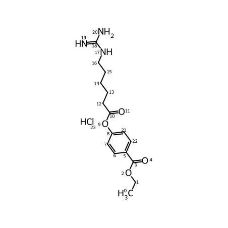 CCOC(=O)c1ccc(OC(=O)CCCCCNC(=N)N)cc1.Cl